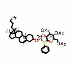 CC(=O)OCC1O[C@@H](Sc2ccccc2)C(O[Si](C)(C)OC2CC[C@@]3(C)C(=CCC4C5CC[C@H]6C5([C@H](C)CC43)[C@@]6(C)CCCC(C)C)C2)C(OC(C)=O)[C@@H]1OC(C)=O